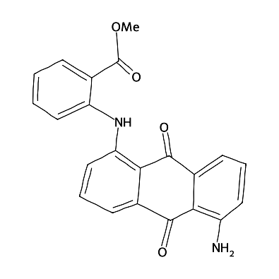 COC(=O)c1ccccc1Nc1cccc2c1C(=O)c1cccc(N)c1C2=O